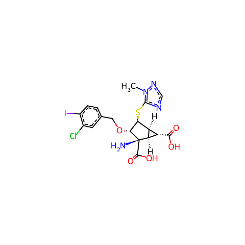 Cn1ncnc1S[C@H]1[C@H]2[C@H](C(=O)O)[C@H]2[C@](N)(C(=O)O)[C@@H]1OCc1ccc(I)c(Cl)c1